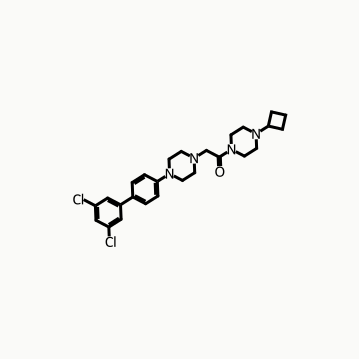 O=C(CN1CCN(c2ccc(-c3cc(Cl)cc(Cl)c3)cc2)CC1)N1CCN(C2CCC2)CC1